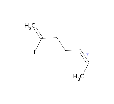 C=C(I)CC/C=C\C